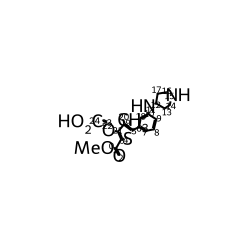 COC(=O)c1sc(-c2cccc(NC3CCNCC3)c2)c(C)c1OCC(=O)O